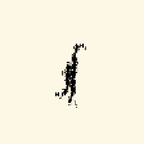 C=CC(=O)OCCCCOc1ccc(C(=O)Oc2ccc(C(=O)Cc3ccc(OC(=O)c4ccc(OC(=O)c5ccc(OCCCCOC(=O)C=C)cc5)cc4Cc4cc(C)ccc4OC(=O)c4ccc(OC(=O)c5ccc(OCCCOC(=O)C=C)cc5)cc4)c(C)c3)cc2)cc1